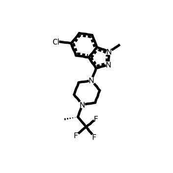 C[C@H](N1CCN(c2nn(C)c3ccc(Cl)cc23)CC1)C(F)(F)F